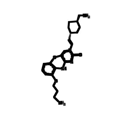 NCCCOc1cccc2c1Nc1nc(=O)n(/C=C/[C@H]3CC[C@H](CN)CC3)cc1O2